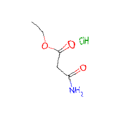 CCOC(=O)CC(N)=O.Cl